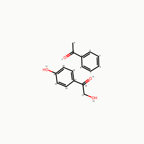 CC(=O)c1ccccc1.O=C(CO)c1ccc(O)cc1